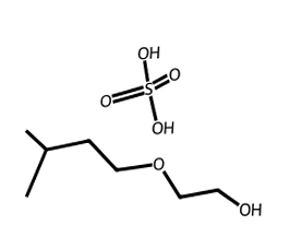 CC(C)CCOCCO.O=S(=O)(O)O